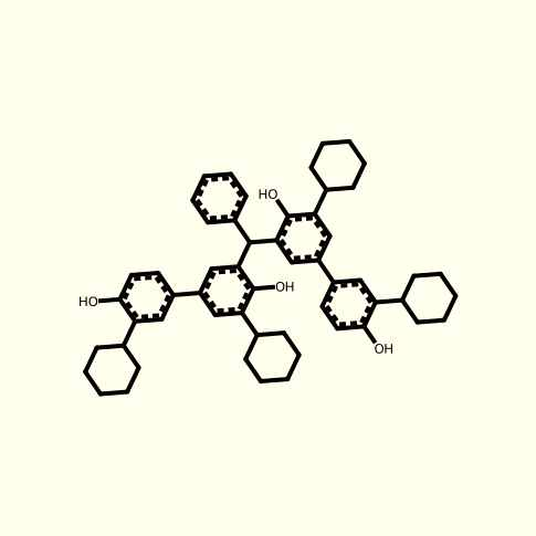 Oc1ccc(-c2cc(C3CCCCC3)c(O)c(C(c3ccccc3)c3cc(-c4ccc(O)c(C5CCCCC5)c4)cc(C4CCCCC4)c3O)c2)cc1C1CCCCC1